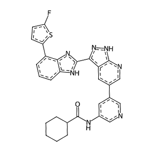 O=C(Nc1cncc(-c2cnc3[nH]nc(-c4nc5c(-c6ccc(F)s6)cccc5[nH]4)c3c2)c1)C1CCCCC1